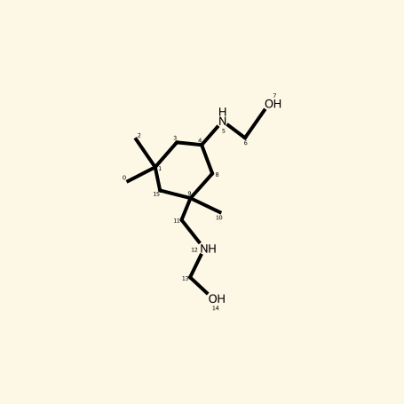 CC1(C)CC(NCO)CC(C)(CNCO)C1